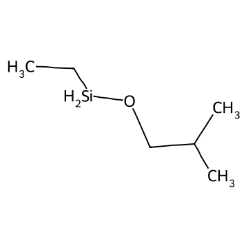 CC[SiH2]OCC(C)C